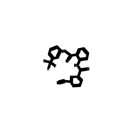 N#Cc1cccc(C(=O)Nc2ccccc2C(=O)Nc2cccc(C(F)(F)F)c2)c1